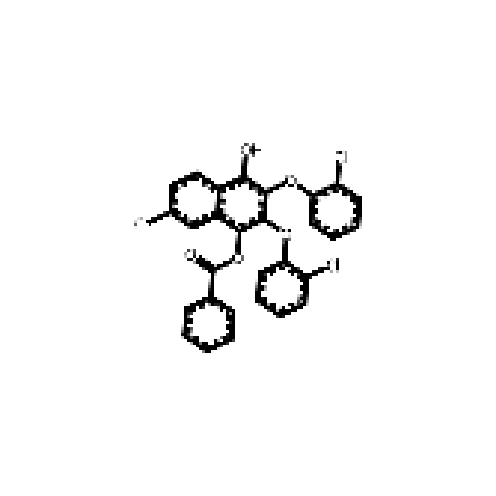 O=C(Oc1c(Oc2ccccc2Cl)c(Oc2ccccc2Cl)c(O)c2ccc(Cl)cc12)c1ccccc1